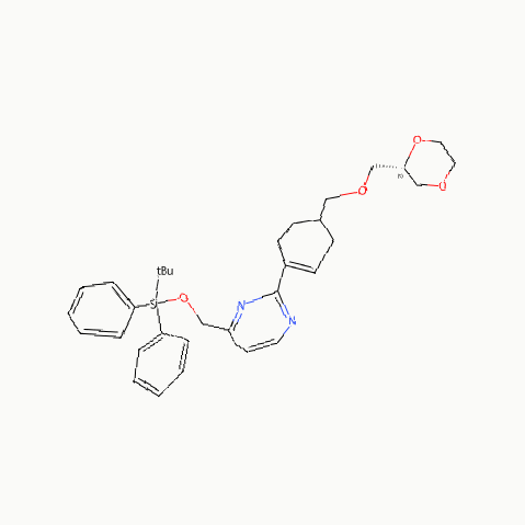 CC(C)(C)[Si](OCc1ccnc(C2=CCC(COC[C@H]3COCCO3)CC2)n1)(c1ccccc1)c1ccccc1